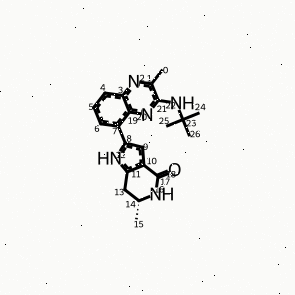 Cc1nc2cccc(-c3cc4c([nH]3)C[C@@H](C)NC4=O)c2nc1NC(C)(C)C